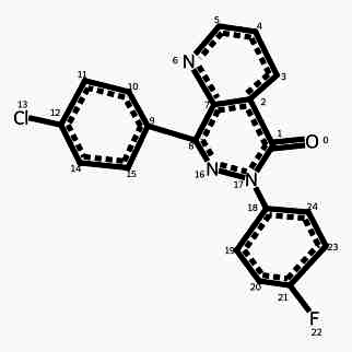 O=c1c2cccnc2c(-c2ccc(Cl)cc2)nn1-c1ccc(F)cc1